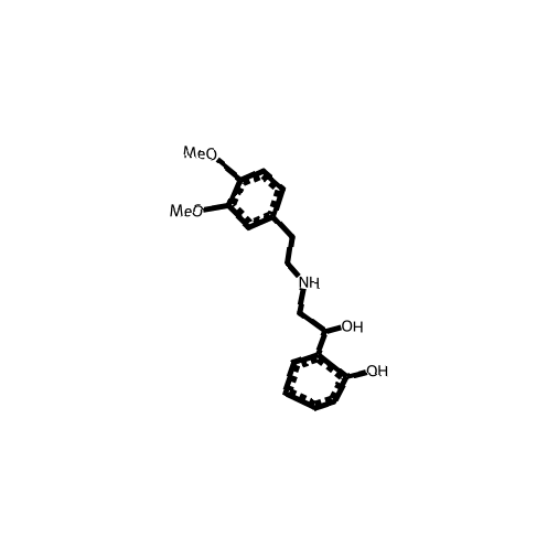 COc1ccc(CCNCC(O)c2ccccc2O)cc1OC